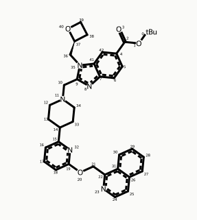 CC(C)(C)OC(=O)c1ccc2nc(CN3CCC(c4cccc(OCc5nccc6ccccc56)n4)CC3)n(C[C@@H]3CCO3)c2c1